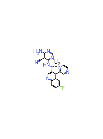 CC(Nc1ncnc(N)c1C#N)c1cnc2ccc(F)cc2c1-c1cnccn1